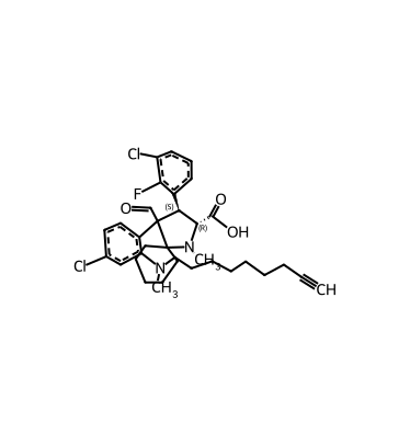 C#CCCCCCCCN(C)c1cc(Cl)ccc1C1(C=O)[C@@H](c2cccc(Cl)c2F)[C@H](C(=O)O)N(C)C12CCCCC2